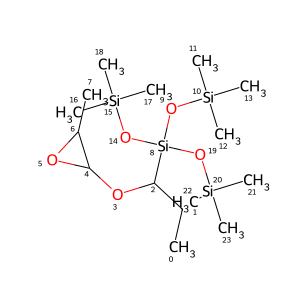 CCC(OC1OC1C)[Si](O[Si](C)(C)C)(O[Si](C)(C)C)O[Si](C)(C)C